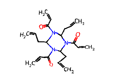 C=CCC1N(C(=O)C=C)C(CC=C)N(C(=O)C=C)C(CC=C)N1C(=O)C=C